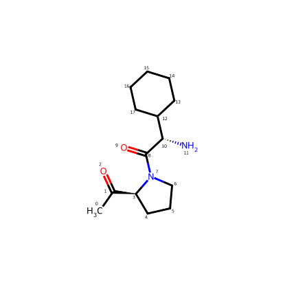 CC(=O)[C@@H]1CCCN1C(=O)[C@@H](N)C1CCCCC1